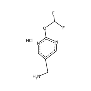 Cl.NCc1cnc(OC(F)F)nc1